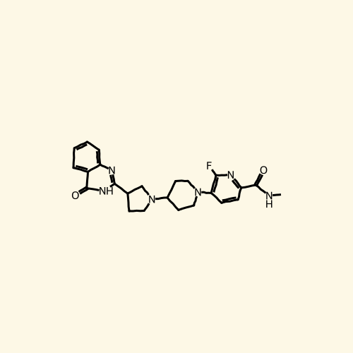 CNC(=O)c1ccc(N2CCC(N3CCC(c4nc5ccccc5c(=O)[nH]4)C3)CC2)c(F)n1